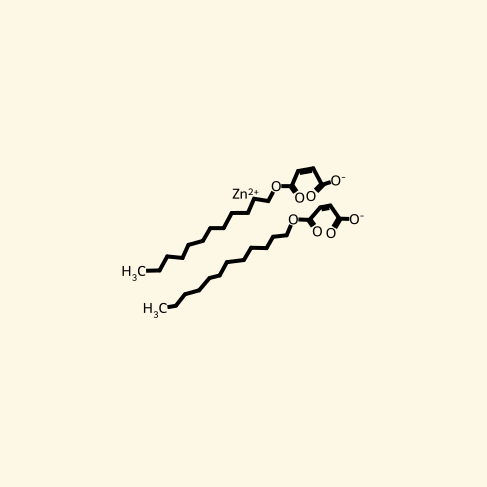 CCCCCCCCCCCCOC(=O)/C=C\C(=O)[O-].CCCCCCCCCCCCOC(=O)/C=C\C(=O)[O-].[Zn+2]